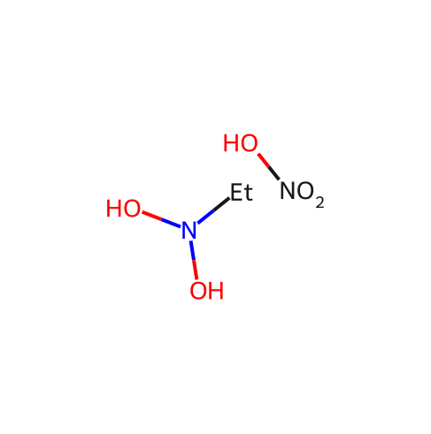 CCN(O)O.O=[N+]([O-])O